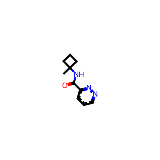 CC1(NC(=O)c2cccnn2)CCC1